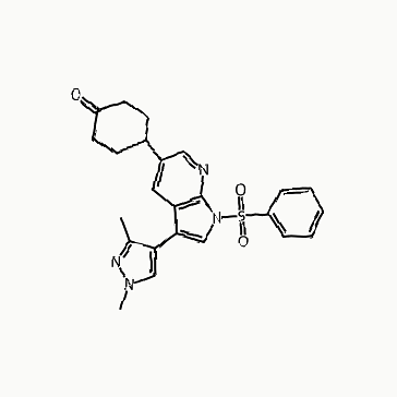 Cc1nn(C)cc1-c1cn(S(=O)(=O)c2ccccc2)c2ncc(C3CCC(=O)CC3)cc12